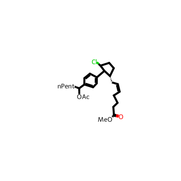 CCCCCC(OC(C)=O)c1ccc(C2C(Cl)CC[C@@H]2C/C=C\CCCC(=O)OC)cc1